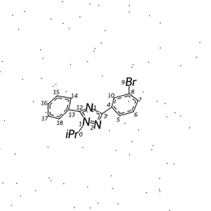 CC(C)n1nc(-c2cccc(Br)c2)nc1-c1ccccc1